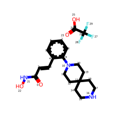 O=C(C=Cc1ccccc1N1CCC2(CCNCC2)CC1)NO.O=C(O)C(F)(F)F